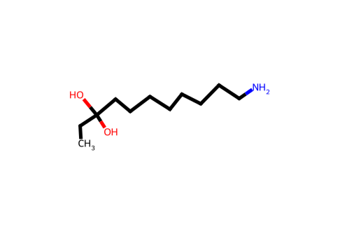 CCC(O)(O)CCCCCCCCN